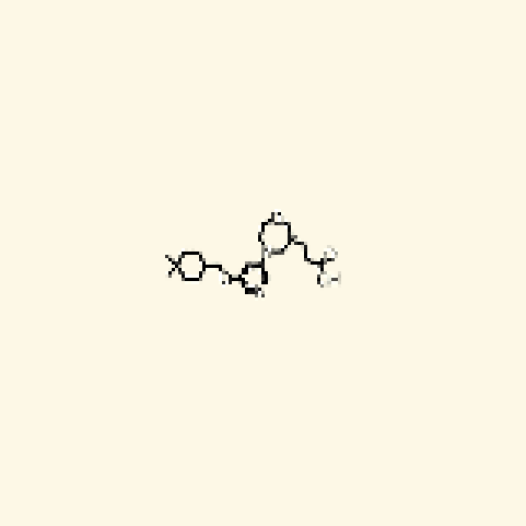 CC1(C)CCC(COc2cncc(N3CCOC[C@@H](CCC(=O)O)C3)c2)CC1